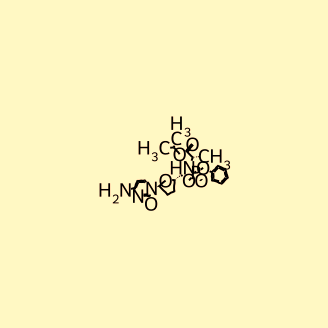 CC(C)OC(=O)[C@H](C)NP(=O)(OC[C@@H]1CC[C@H](n2ccc(N)nc2=O)O1)Oc1ccccc1